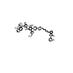 COc1cc(N2CCC(N3CCN(CCCCCCc4cccc5c4CN(C4CCCNC4)C5=O)CC3)CC2)c(-c2cnn(C)c2)cc1Nc1ncc(Br)c(Nc2ccc3nccnc3c2P(C)(C)=O)n1